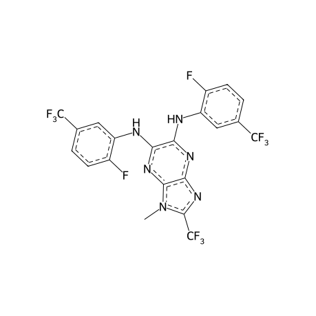 Cn1c(C(F)(F)F)nc2nc(Nc3cc(C(F)(F)F)ccc3F)c(Nc3cc(C(F)(F)F)ccc3F)nc21